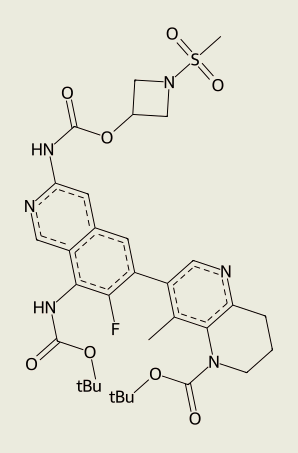 Cc1c(-c2cc3cc(NC(=O)OC4CN(S(C)(=O)=O)C4)ncc3c(NC(=O)OC(C)(C)C)c2F)cnc2c1N(C(=O)OC(C)(C)C)CCC2